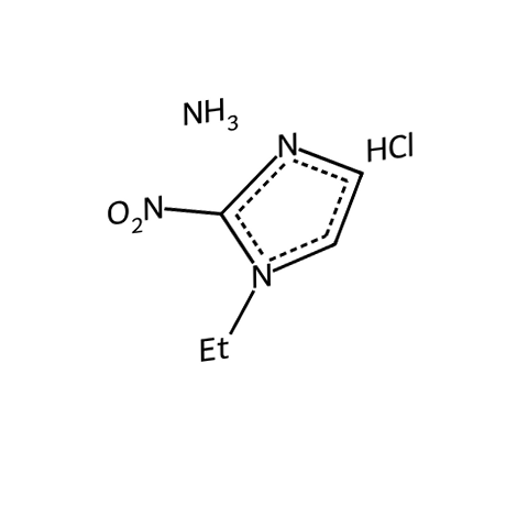 CCn1ccnc1[N+](=O)[O-].Cl.N